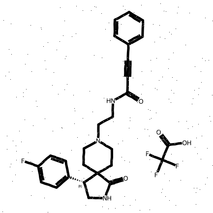 O=C(C#Cc1ccccc1)NCCN1CCC2(CC1)C(=O)NC[C@@H]2c1ccc(F)cc1.O=C(O)C(F)(F)F